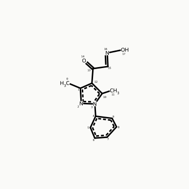 Cc1nn(-c2ccccc2)c(C)c1C(=O)C=NO